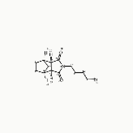 O=C1[C@@H]2[C@H]3CC[C@H](C3)[C@@H]2C(=O)N1CCCCBr